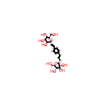 OC[C@H]1O[C@H](C/C=C/c2ccc(C#C[C@H]3O[C@H](CO)[C@@H](O)[C@H](O)[C@@H]3O)cc2)[C@@H](O)[C@@H](O)[C@@H]1O